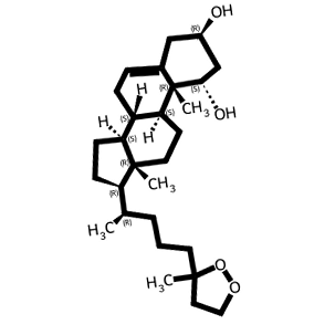 C[C@H](CCCC1(C)CCOO1)[C@H]1CC[C@H]2[C@@H]3CC=C4C[C@@H](O)C[C@H](O)[C@]4(C)[C@H]3CC[C@]12C